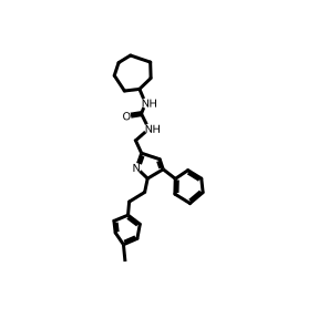 Cc1ccc(CCC2N=C(CNC(=O)NC3CCCCCC3)C=C2c2ccccc2)cc1